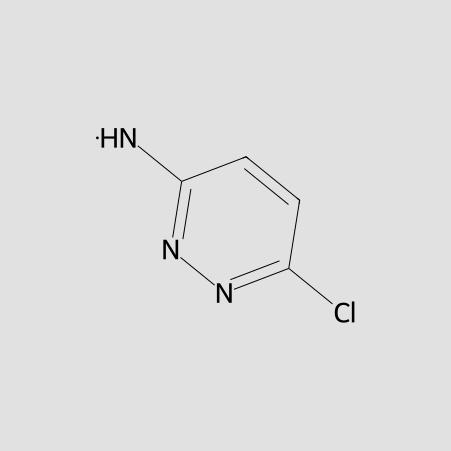 [NH]c1ccc(Cl)nn1